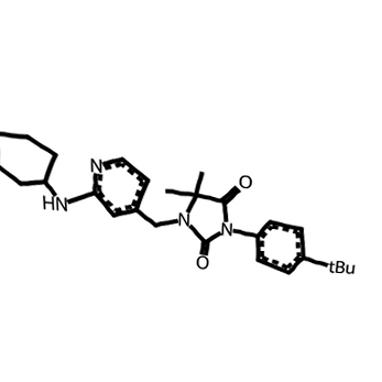 CC(C)(C)c1ccc(N2C(=O)N(Cc3ccnc(NC4CCCCC4)c3)C(C)(C)C2=O)cc1